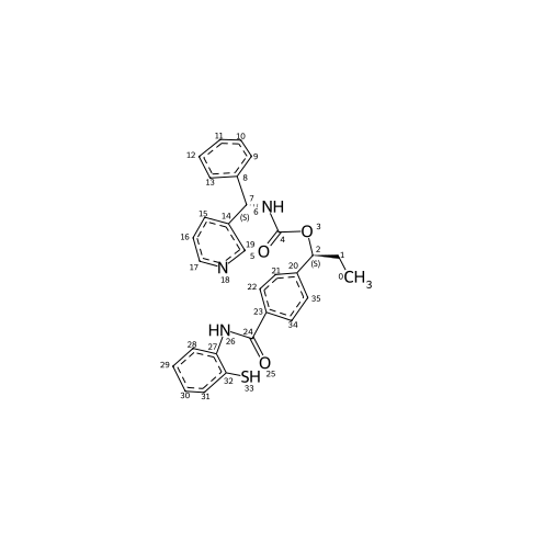 CC[C@H](OC(=O)N[C@@H](c1ccccc1)c1cccnc1)c1ccc(C(=O)Nc2ccccc2S)cc1